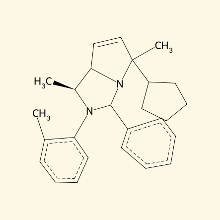 Cc1ccccc1N1C(c2ccccc2)N2C(C=CC2(C)C2CCCC2)[C@@H]1C